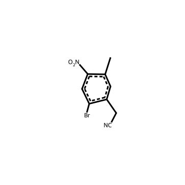 Cc1cc(CC#N)c(Br)cc1[N+](=O)[O-]